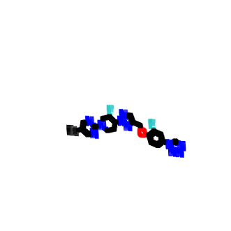 CCc1cnc(N2CCC(n3ncc(COc4ccc(-n5cnnn5)cc4F)n3)C(F)C2)nc1